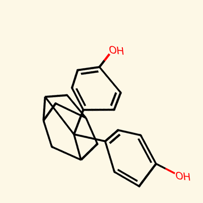 Oc1ccc(C2(c3ccc(O)cc3)C3CC4CC(C3)C2C4)cc1